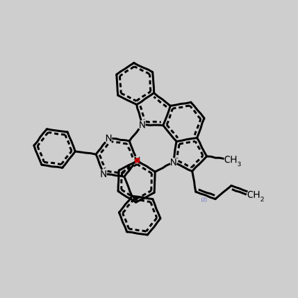 C=C/C=C\c1c(C)c2ccc3c4ccccc4n(-c4nc(-c5ccccc5)nc(-c5ccccc5)n4)c3c2n1-c1ccccc1